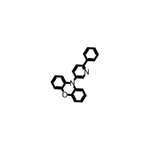 c1ccc(-c2ccc(N3c4ccccc4Oc4ccccc43)cn2)cc1